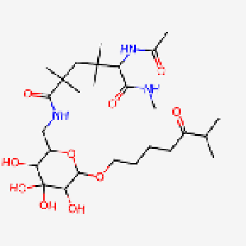 CNC(=O)C(NC(C)=O)C(C)(C)CC(C)(C)C(=O)NCC1OC(OCCCCC(=O)C(C)C)C(O)C(O)(O)C1O